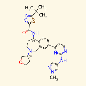 Cn1cc(Nc2nccc(-c3ccc4c(c3)CN([C@H]3CCOC3)CC[C@H]4NC(=O)c3nnc(C(C)(C)C)s3)n2)cn1